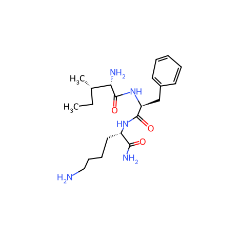 CC[C@H](C)[C@H](N)C(=O)N[C@@H](Cc1ccccc1)C(=O)N[C@@H](CCCCN)C(N)=O